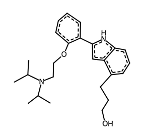 CC(C)N(CCOc1ccccc1-c1cc2c(CCCO)cccc2[nH]1)C(C)C